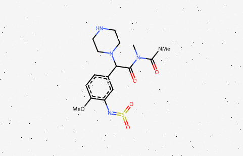 CNC(=O)N(C)C(=O)C(c1ccc(OC)c(N=S(=O)=O)c1)N1CCNCC1